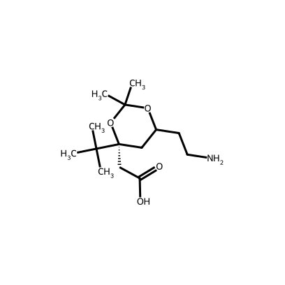 CC1(C)OC(CCN)C[C@@](CC(=O)O)(C(C)(C)C)O1